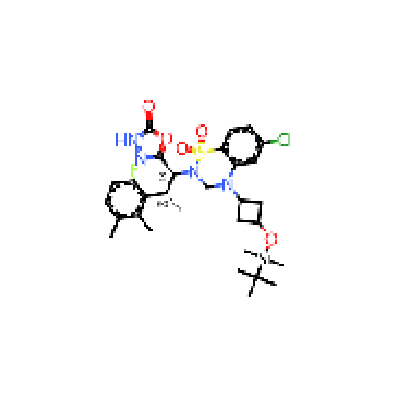 Cc1ccc(F)c([C@@H](C)[C@@H](c2n[nH]c(=O)o2)N2CN(C3CC(O[Si](C)(C)C(C)(C)C)C3)c3cc(Cl)ccc3S2(=O)=O)c1C